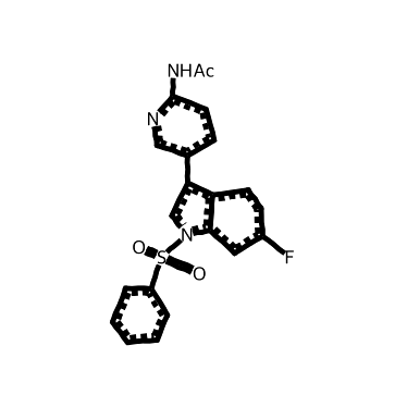 CC(=O)Nc1ccc(-c2cn(S(=O)(=O)c3ccccc3)c3cc(F)ccc23)cn1